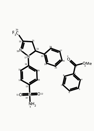 COC(=O)c1ccccc1.NS(=O)(=O)c1ccc(N2N=C(C(F)(F)F)CC2c2ccccc2)cc1